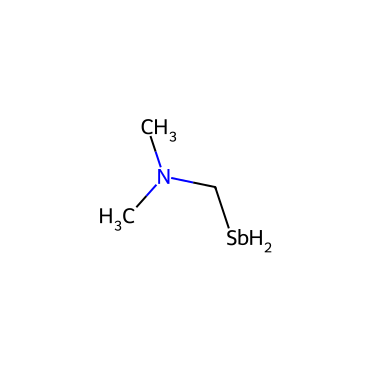 CN(C)[CH2][SbH2]